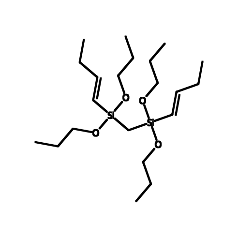 CCC=C[Si](C[Si](C=CCC)(OCCC)OCCC)(OCCC)OCCC